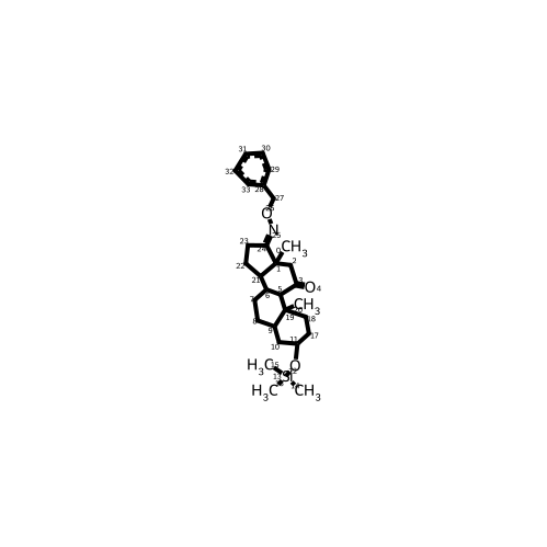 CC12CC(=O)C3C(CCC4CC(O[Si](C)(C)C)CCC43C)C1CCC2=NOCc1ccccc1